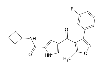 Cc1onc(-c2cccc(F)c2)c1C(=O)c1c[nH]c(C(=O)NC2CCC2)c1